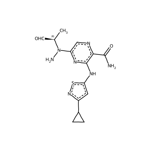 C[C@H](C=O)N(N)c1cnc(C(N)=O)c(Nc2cc(C3CC3)ns2)n1